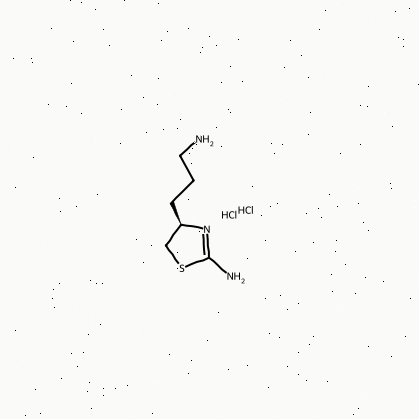 Cl.Cl.NCCC[C@@H]1CSC(N)=N1